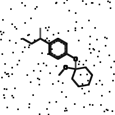 CCC(C)c1ccc(OC2(OC)CCCCC2)cc1